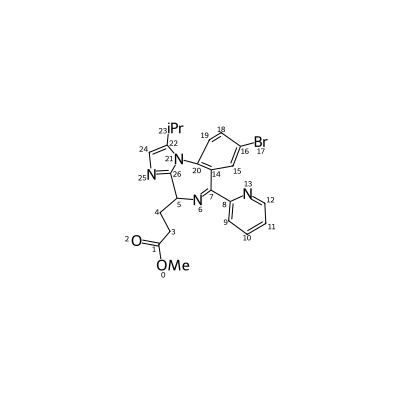 COC(=O)CCC1N=C(c2ccccn2)c2cc(Br)ccc2-n2c(C(C)C)cnc21